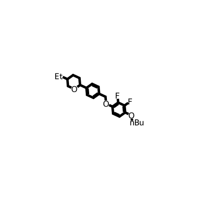 CCCCOc1ccc(OCc2ccc(C3CCC(CC)CO3)cc2)c(F)c1F